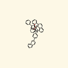 C1=CC(n2c3ccccc3c3ccc4cccc(N(c5ccc(-c6ccccc6)cc5)c5ccc(-c6ccc7ccccc7c6)cc5)c4c32)=CCC1